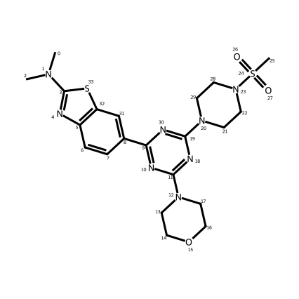 CN(C)c1nc2ccc(-c3nc(N4CCOCC4)nc(N4CCN(S(C)(=O)=O)CC4)n3)cc2s1